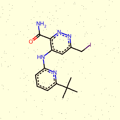 CC(C)(C)c1cccc(Nc2cc(CI)nnc2C(N)=O)n1